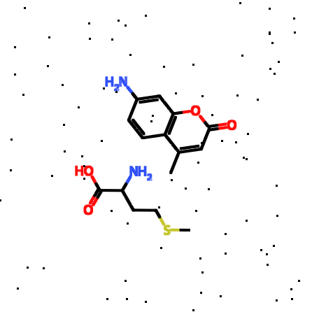 CSCCC(N)C(=O)O.Cc1cc(=O)oc2cc(N)ccc12